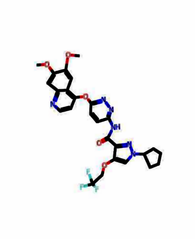 COc1cc2nccc(Oc3ccc(NC(=O)c4nn(C5CCCC5)cc4OCC(F)(F)F)nn3)c2cc1OC